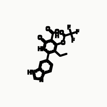 CCc1c(-c2ccc3nc[nH]c3c2)[nH]c(=O)c(C(=O)O)c1OC(=O)C(F)(F)F